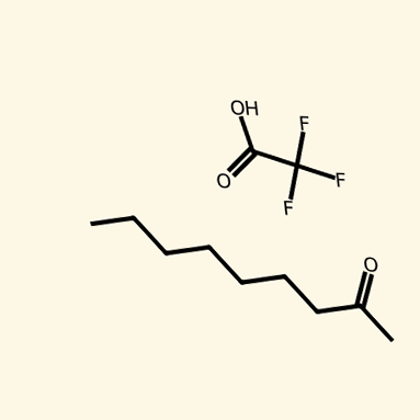 CCCCCCCC(C)=O.O=C(O)C(F)(F)F